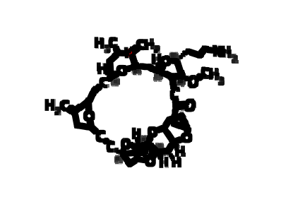 C=C1CC2CC[C@@]34CC5O[C@H]6[C@@H](O3)[C@H]3OC(CCC3O[C@H]6[C@H]5O4)CC(=O)CC3[C@H](C[C@H]4O[C@@H](CCC1O2)CC(C)C4=C)O[C@H](CCCN)[C@@H]3OC